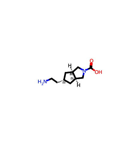 NCC[C@H]1C[C@@H]2CN(C(=O)O)C[C@@H]2C1